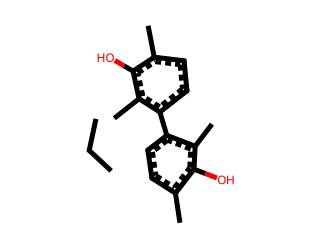 CCC.Cc1ccc(-c2ccc(C)c(O)c2C)c(C)c1O